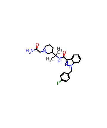 CC(C)(NC(=O)c1nn(Cc2ccc(F)cc2)c2ccccc12)C1CCCN(CC(N)=O)C1